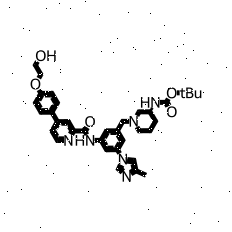 Cc1cn(-c2cc(CN3CCC[C@H](NC(=O)OC(C)(C)C)C3)cc(NC(=O)c3cc(-c4ccc(OCCO)cc4)ccn3)c2)cn1